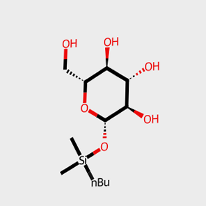 CCCC[Si](C)(C)O[C@@H]1O[C@H](CO)[C@@H](O)[C@H](O)[C@H]1O